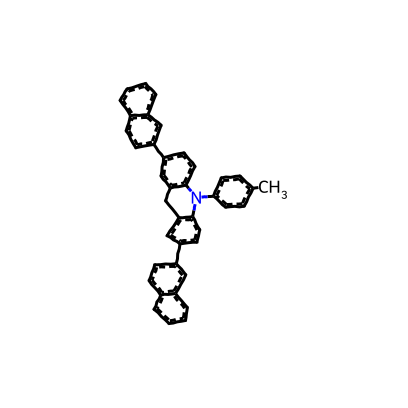 Cc1ccc(N2c3ccc(-c4ccc5ccccc5c4)cc3Cc3cc(-c4ccc5ccccc5c4)ccc32)cc1